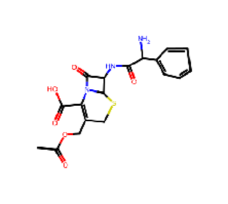 CC(=O)OCC1=C(C(=O)O)N2C(=O)C(NC(=O)C(N)c3ccccc3)C2SC1